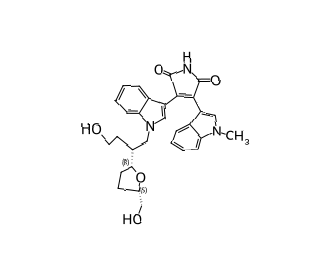 Cn1cc(C2=C(c3cn(CC(CCO)[C@H]4CC[C@@H](CO)O4)c4ccccc34)C(=O)NC2=O)c2ccccc21